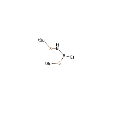 CCB(BSC(C)(C)C)SC(C)(C)C